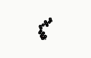 c1cc(-c2ccc(-c3c4ccccc4c(-c4ccc5oc6ccccc6c5c4)c4ccccc34)cc2)c2ccc(-c3ccc4c(-c5c6ccccc6c(-c6cccc7oc8ccccc8c67)c6ccccc56)cccc4c3)cc2c1